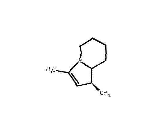 CC1=C[C@H](C)C2CCCCB12